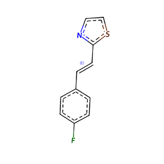 Fc1ccc(/C=C/c2nccs2)cc1